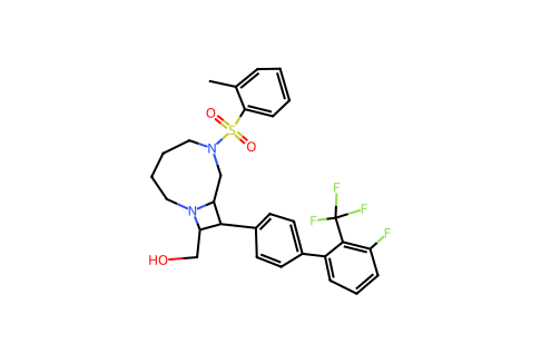 Cc1ccccc1S(=O)(=O)N1CCCCN2C(CO)C(c3ccc(-c4cccc(F)c4C(F)(F)F)cc3)C2C1